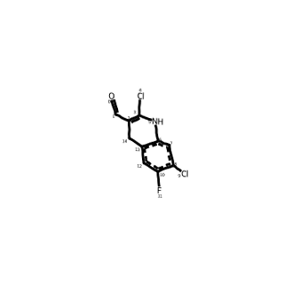 O=CC1=C(Cl)Nc2cc(Cl)c(F)cc2C1